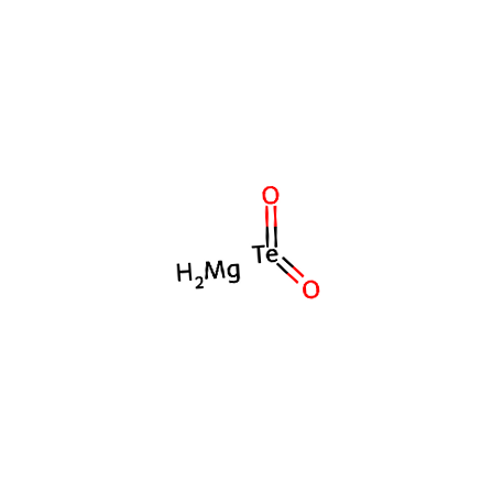 O=[Te]=O.[MgH2]